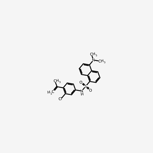 C=C(C)c1ccc(NS(=O)(=O)c2cccc3c(N(C)C)cccc23)cc1Cl